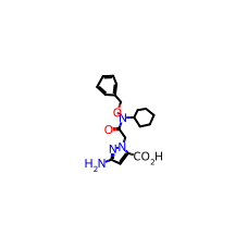 Nc1cc(C(=O)O)n(CC(=O)N(OCc2ccccc2)C2CCCCC2)n1